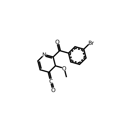 COC1C(=C=O)C=CN=C1C(=O)c1cccc(Br)c1